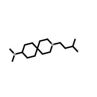 CC(C)CCN1CCC2(CCC(N(C)C)CC2)CC1